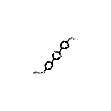 CCCCCCOc1ccc(-c2cnc(-c3ccc(CCCCC)cc3)nc2)cc1